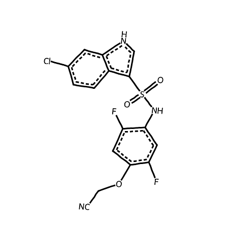 N#CCOc1cc(F)c(NS(=O)(=O)c2c[nH]c3cc(Cl)ccc23)cc1F